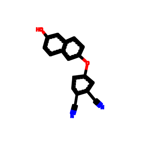 N#Cc1ccc(Oc2ccc3cc(O)ccc3c2)cc1C#N